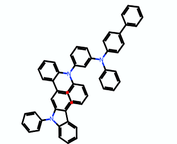 c1ccc(-c2ccc(N(c3ccccc3)c3cccc(N(c4ccccc4)c4ccccc4-c4ccc5c6ccccc6n(-c6ccccc6)c5c4)c3)cc2)cc1